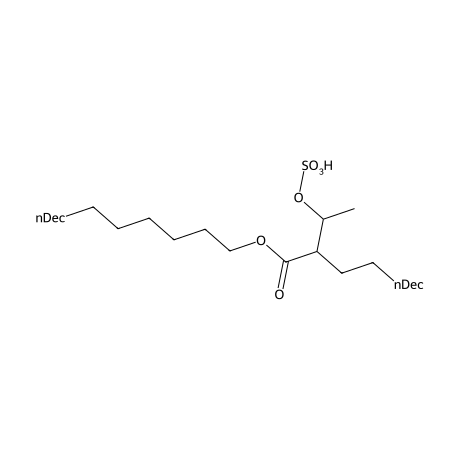 CCCCCCCCCCCCCCCCOC(=O)C(CCCCCCCCCCCC)C(C)OS(=O)(=O)O